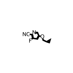 N#Cc1ncc(OCC2CC2)cc1F